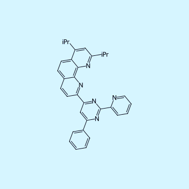 CC(C)c1cc(C(C)C)c2ccc3ccc(-c4cc(-c5ccccc5)nc(-c5ccccn5)n4)nc3c2n1